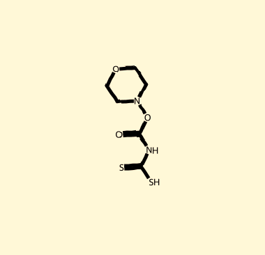 O=C(NC(=S)S)ON1CCOCC1